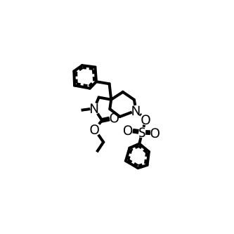 CCOC(=O)N(C)CC1(Cc2ccccc2)CCN(OS(=O)(=O)c2ccccc2)CC1